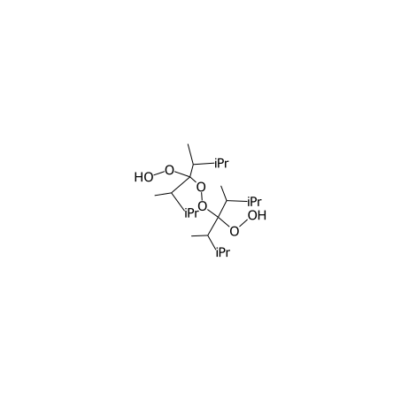 CC(C)C(C)C(OO)(OOC(OO)(C(C)C(C)C)C(C)C(C)C)C(C)C(C)C